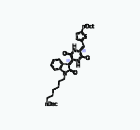 CCCCCCCCCCCCCCCCN1C(=O)/C(=c2\[nH]c(=O)/c(=C/c3ccc(CCCCCCCC)s3)[nH]c2=O)c2ccccc21